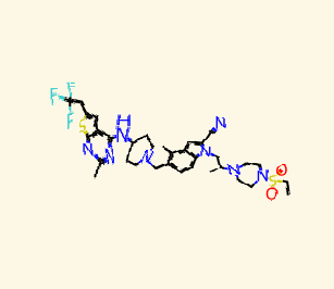 CCS(=O)(=O)N1CCN([C@@H](C)Cn2c(C#N)cc3c(C)c(CN4CCC(Nc5nc(C)nc6sc(CC(F)(F)F)cc56)CC4)ccc32)CC1